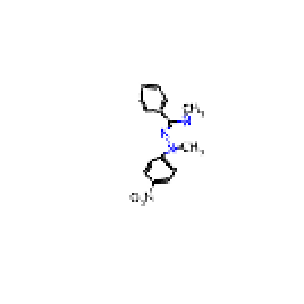 C=N/C(=N\N(C)c1ccc([N+](=O)[O-])cc1)c1ccccc1